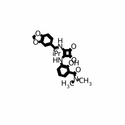 CC(C)[C@@H](Nc1c(Nc2cccc(C(=O)N(C)C)c2O)c(=O)c1=O)c1ccc2c(c1)OCO2